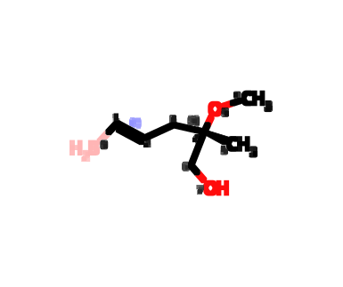 B/C=C/C[C@@](C)(CO)OC